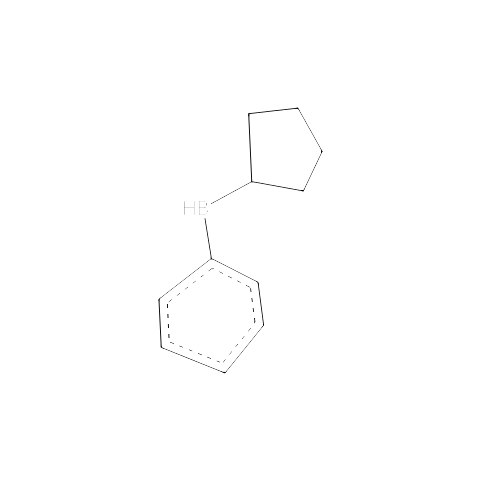 B(c1ccccc1)C1CCCC1